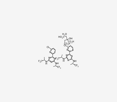 C[C@@H](Nc1nc(N[C@H](C)C(F)(F)F)nc(-c2cccc(Cl)n2)n1)C(F)(F)F.C[C@@H](Nc1nc(N[C@H](C)C(F)(F)F)nc(-c2cccc(Cl)n2)n1)C(F)(F)F.O.O=C(O)CC(O)(CC(=O)O)C(=O)O